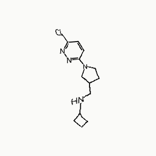 Clc1ccc(N2CCC(CNC3CCC3)C2)nn1